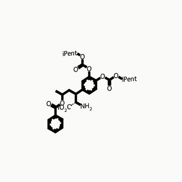 CCCC(C)OC(=O)Oc1ccc(C(CC(C)OC(=O)c2ccccc2)[C@H](N)C(=O)O)cc1OC(=O)OC(C)CCC